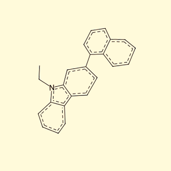 CCn1c2ccccc2c2ccc(-c3cccc4ccccc34)cc21